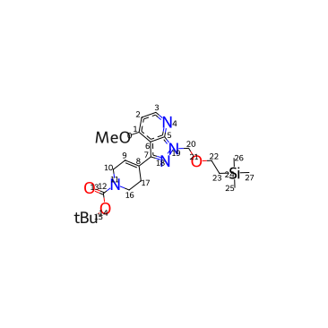 COc1ccnc2c1c(C1=CCN(C(=O)OC(C)(C)C)CC1)nn2COCC[Si](C)(C)C